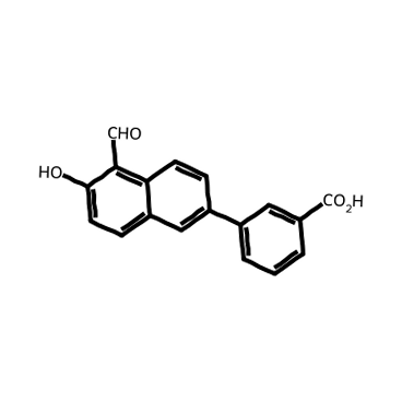 O=Cc1c(O)ccc2cc(-c3cccc(C(=O)O)c3)ccc12